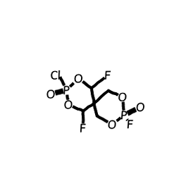 O=P1(F)OCC2(CO1)C(F)OP(=O)(Cl)OC2F